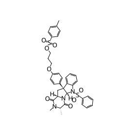 Cc1ccc(S(=O)(=O)OCCCOc2ccc([C@]34C[C@H]5C(=O)N(C)[C@@H](C)C(=O)N5[C@H]3N(S(=O)(=O)c3ccccc3)c3ccccc34)cc2)cc1